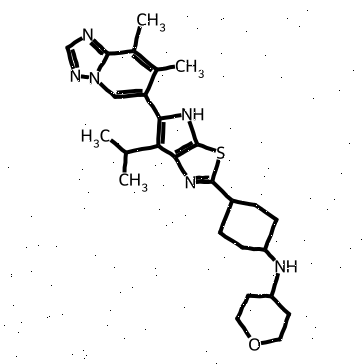 Cc1c(-c2[nH]c3sc(C4CCC(NC5CCOCC5)CC4)nc3c2C(C)C)cn2ncnc2c1C